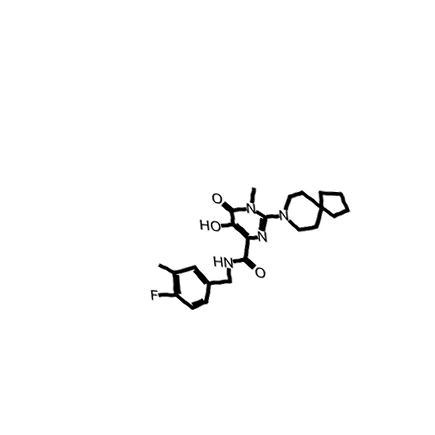 Cc1cc(CNC(=O)c2nc(N3CCC4(CCCC4)CC3)n(C)c(=O)c2O)ccc1F